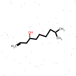 C=CC[C@@H](O)CCCCC(C)C